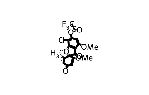 COC1=CC(=O)C[C@@H](C)[C@]12Oc1c(Cl)c(OS(=O)C(F)(F)F)cc(OC)c1C2=O